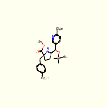 COc1ccc([C@@H](O[Si](C)(C)C(C)(C)C)[C@H]2CC[C@](Cc3ccc(C(=O)O)cc3)(C(=O)OC(C)(C)C)N2)cn1